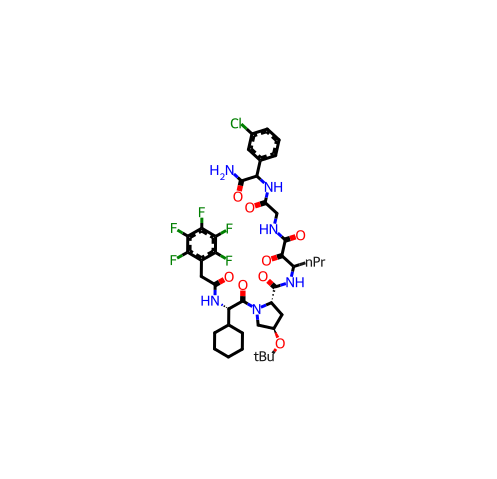 CCCC(NC(=O)[C@@H]1C[C@@H](OC(C)(C)C)CN1C(=O)[C@@H](NC(=O)Cc1c(F)c(F)c(F)c(F)c1F)C1CCCCC1)C(=O)C(=O)NCC(=O)NC(C(N)=O)c1cccc(Cl)c1